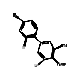 COc1c(Br)cc(-c2ccc(F)cc2F)cc1C(C)(C)C